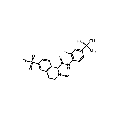 CCS(=O)(=O)c1ccc2c(c1)CCN(C(C)=O)C2C(=O)Nc1ccc(C(O)(C(F)(F)F)C(F)(F)F)cc1F